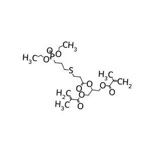 C=C(C)C(=O)OCC(COC(=O)C(=C)C)OC(=O)CCSCCCP(=O)(OCC)OCC